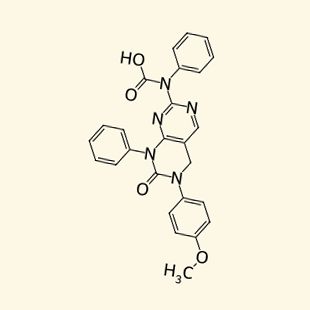 COc1ccc(N2Cc3cnc(N(C(=O)O)c4ccccc4)nc3N(c3ccccc3)C2=O)cc1